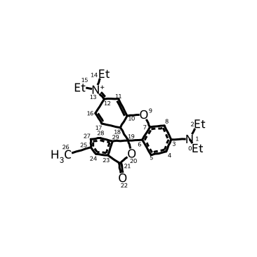 CCN(CC)c1ccc2c(c1)OC1=CC(=[N+](CC)CC)C=CC1C21OC(=O)c2cc(C)ccc21